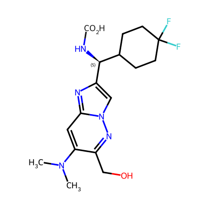 CN(C)c1cc2nc([C@@H](NC(=O)O)C3CCC(F)(F)CC3)cn2nc1CO